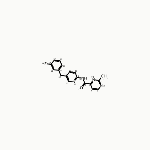 Cc1nccc(C(=O)Nc2ccc(Cc3cccc(F)c3)cn2)n1